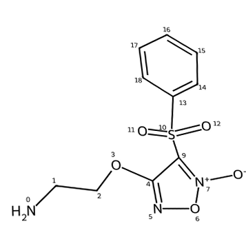 NCCOc1no[n+]([O-])c1S(=O)(=O)c1ccccc1